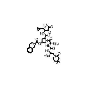 CC1(C)CCN(C[C@@H](NC(=O)N[C@H](C(=O)N2C[C@H](OC(=O)N3CCc4ccccc4C3)C[C@H]2C(=O)NC(CC2CC2)C(=O)C(N)=O)C(C)(C)C)C(C)(C)C)C(=O)C1